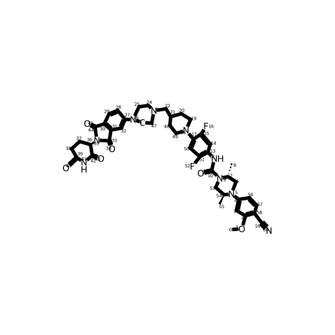 COc1cc(N2C[C@@H](C)N(C(=O)Nc3cc(F)c(N4CCC(CN5CCN(c6ccc7c(c6)C(=O)N([C@@H]6CCC(=O)NC6=O)C7=O)CC5)CC4)cc3F)C[C@@H]2C)ccc1C#N